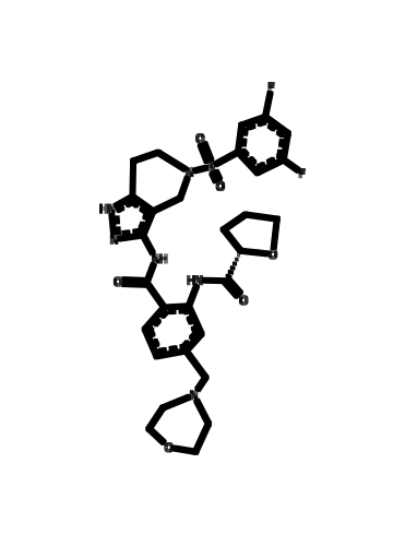 O=C(Nc1n[nH]c2c1CN(S(=O)(=O)c1cc(F)cc(F)c1)CC2)c1ccc(CN2CCOCC2)cc1NC(=O)[C@@H]1CCCO1